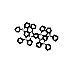 c1ccc(N2c3ccccc3B3c4cc5c(cc4N(c4ccccc4)c4c3c2cc2c4c3ccccc3n2-c2ccccc2)N(c2ccccc2)c2c3c(cc4c2c2ccccc2n4-c2ccccc2)N(c2ccccc2)c2ccccc2B53)cc1